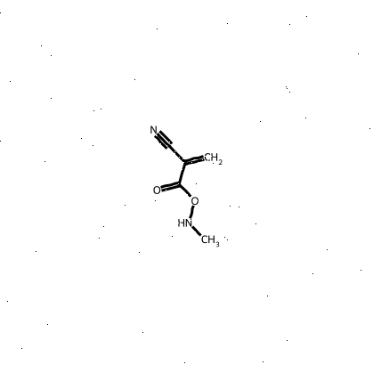 C=C(C#N)C(=O)ONC